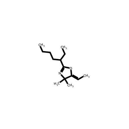 CC=C1OC(C(CC)CCCC)=NC1(C)C